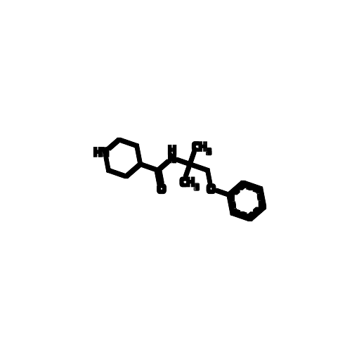 CC(C)(COc1ccccc1)NC(=O)C1CCNCC1